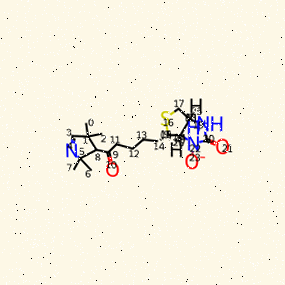 CC1(C)C=NC(C)(C)C1C(=O)CCCC[C@@H]1SC[C@@H]2NC(=O)[NH+]([O-])[C@@H]21